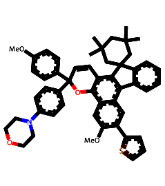 COc1ccc(C2(c3ccc(N4CCOCC4)cc3)C=Cc3c4c(c5cc(-c6cccs6)c(OC)cc5c3O2)-c2ccccc2C42CC(C)(C)CC(C)(C)C2)cc1